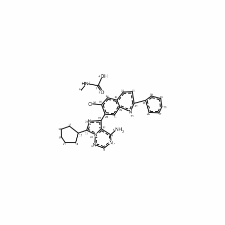 CNC(=O)O.Nc1ncnn2c(C3CCCCC3)nc(-c3cc4nc(-c5ccccc5)ccc4cc3Cl)c12